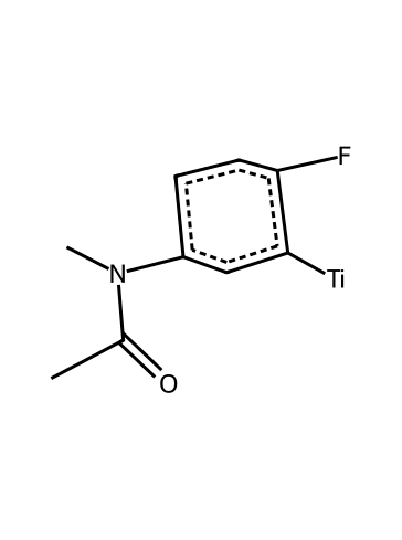 CC(=O)N(C)c1ccc(F)[c]([Ti])c1